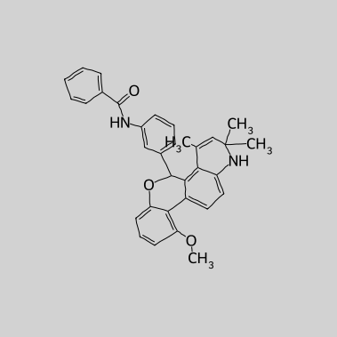 COc1cccc2c1-c1ccc3c(c1C(c1cccc(NC(=O)c4ccccc4)c1)O2)C(C)=CC(C)(C)N3